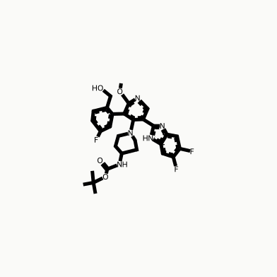 COc1ncc(-c2nc3cc(F)c(F)cc3[nH]2)c(N2CCC(NC(=O)OC(C)(C)C)CC2)c1-c1cc(F)ccc1CO